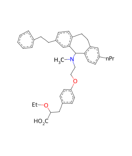 CCCc1ccc2c(c1)CCc1ccc(CCc3ccccc3)cc1C2N(C)CCOc1ccc(CC(OCC)C(=O)O)cc1